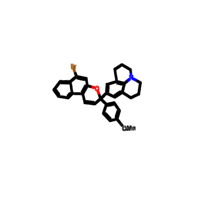 COc1ccc(C2(c3cc4c5c(c3)CCCN5CCC4)C=Cc3c(cc(Br)c4ccccc34)O2)cc1